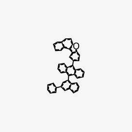 c1ccc(-c2cc(-c3c4ccccc4c(-c4ccc5oc6ccc7ccccc7c6c5c4)c4ccccc34)c3ccccc3c2)cc1